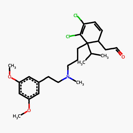 COc1cc(CCN(C)CCCC2(C(C)C)C(Cl)=C(Cl)C=CC2CC=O)cc(OC)c1